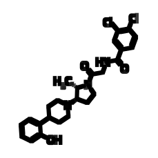 C[C@H]1[C@H](N2CCC(c3ccccc3O)CC2)CCN1C(=O)CNC(=O)c1ccc(Cl)c(Cl)c1